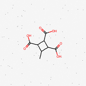 CC1C(C(=O)O)C(C(=O)O)C1C(=O)O